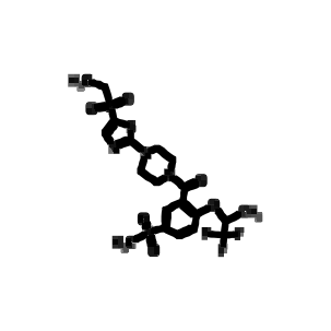 CCS(=O)(=O)c1cnc(N2CCN(C(=O)c3cc(S(C)(=O)=O)ccc3OC(C)C(F)(F)F)CC2)s1